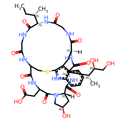 CC[C@H](C)[C@@H]1NC(=O)CNC(=O)[C@@H]2Cc3c([nH]c4ccccc34)SCC(NC(=O)CNC1=O)C(=O)NC(CC(=O)O)C(=O)N1C[C@H](O)C[C@H]1C(=O)N[C@@H]([C@@H](C)[C@@H](O)CO)C(=O)N2